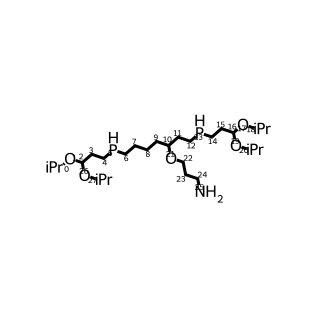 CC(C)OC(CCPCCCCC(CCPCCC(OC(C)C)OC(C)C)OCCCN)OC(C)C